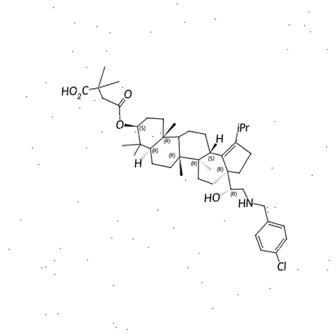 CC(C)C1=C2[C@H]3CCC4[C@@]5(C)CC[C@H](OC(=O)CC(C)(C)C(=O)O)C(C)(C)[C@@H]5CC[C@@]4(C)[C@]3(C)CC[C@@]2([C@@H](O)CNCc2ccc(Cl)cc2)CC1